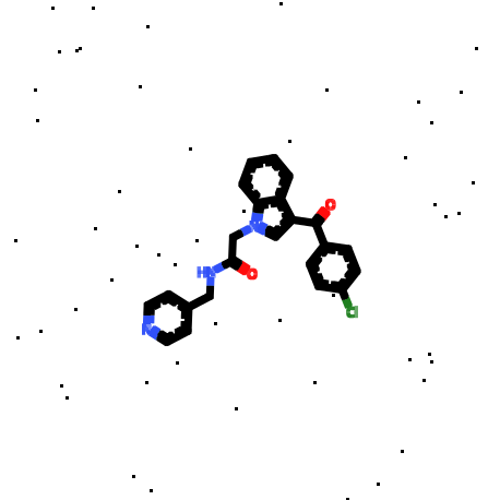 O=C(Cn1cc(C(=O)c2ccc(Cl)cc2)c2ccccc21)NCc1ccncc1